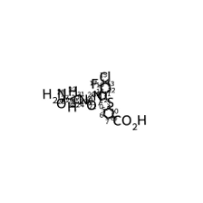 Cc1c(Sc2cccc(C(=O)O)c2)c2ccc(Cl)c(F)c2n1CC(=O)N1C[C@@H]2C(C(N)=O)[C@@H]2C1